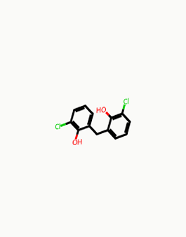 Oc1c(Cl)cccc1Cc1cccc(Cl)c1O